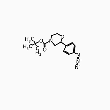 CC(C)(C)OC(=O)N1CCOC(c2ccc(N=[N+]=[N-])cc2)C1